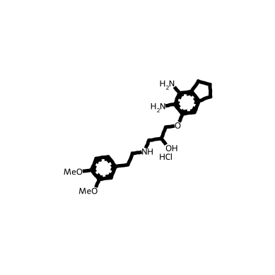 COc1ccc(CCNCC(O)COc2cc3c(c(N)c2N)CCC3)cc1OC.Cl